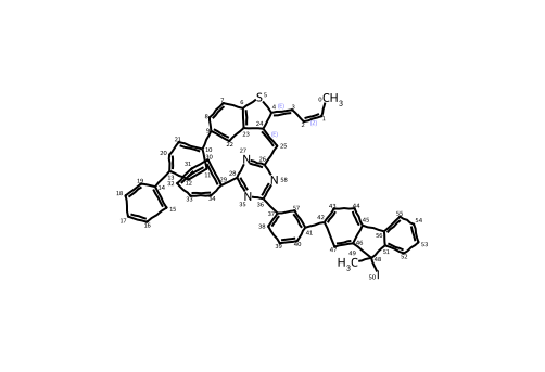 C\C=C/C=c1/sc2ccc(-c3ccc(-c4ccccc4)cc3)cc2/c1=C\c1nc(-c2ccccc2)nc(-c2cccc(-c3ccc4c(c3)C(C)(I)c3ccccc3-4)c2)n1